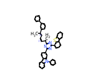 C=C(/C=C\C=C(/C)c1cccc(-c2ccccc2)c1)c1nc(-c2ccc3c4ccccc4n(-c4ccccc4)c3c2)nc(-c2cccc3c2sc2ccccc23)n1